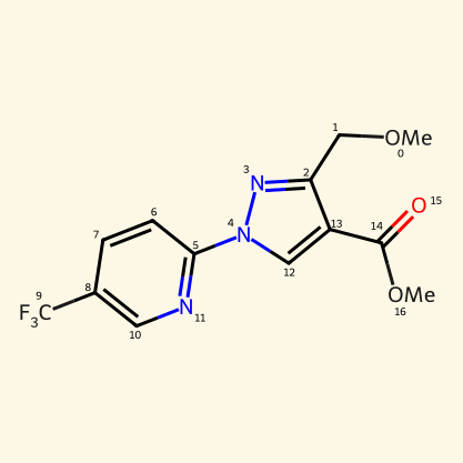 COCc1nn(-c2ccc(C(F)(F)F)cn2)cc1C(=O)OC